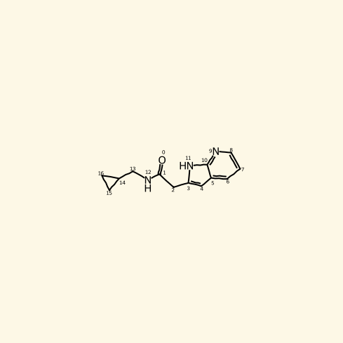 O=C(Cc1cc2cccnc2[nH]1)NCC1CC1